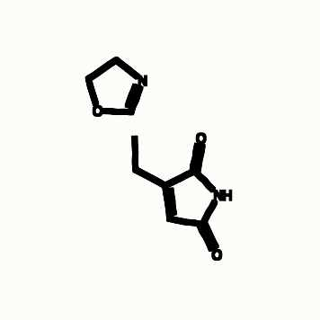 C1=NCCO1.CCC1=CC(=O)NC1=O